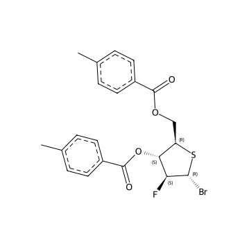 Cc1ccc(C(=O)OC[C@H]2S[C@H](Br)[C@@H](F)[C@@H]2OC(=O)c2ccc(C)cc2)cc1